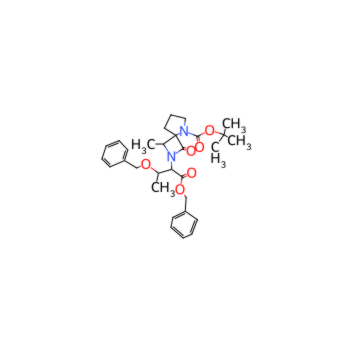 CC(OCc1ccccc1)C(C(=O)OCc1ccccc1)N1C(=O)C2(CCCN2C(=O)OC(C)(C)C)C1C